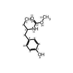 CCC(Cc1ccc(O)cc1)NC(=O)OC